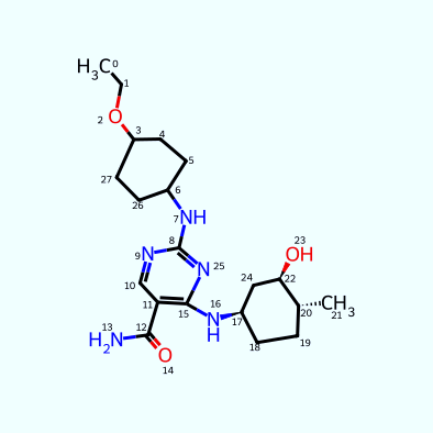 CCOC1CCC(Nc2ncc(C(N)=O)c(N[C@@H]3CC[C@@H](C)[C@H](O)C3)n2)CC1